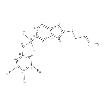 C/C=C/CCc1cc2ccc(C(F)(F)Oc3cc(F)c(F)c(F)c3)cc2s1